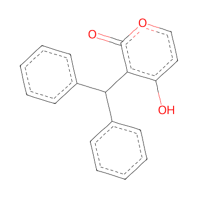 O=c1occc(O)c1C(c1ccccc1)c1ccccc1